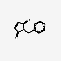 O=C1C=CC(=O)N1Cc1ccncc1